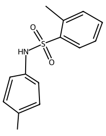 Cc1ccc(NS(=O)(=O)c2ccccc2C)cc1